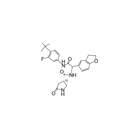 CC(C)(C)c1ccc(NC(=O)C(NC(=O)[C@@H]2CNC(=O)C2)c2ccc3c(c2)CCO3)cc1F